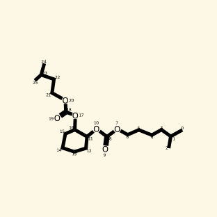 CC(C)CCCCOC(=O)OC1CCCCC1OC(=O)OCCC(C)C